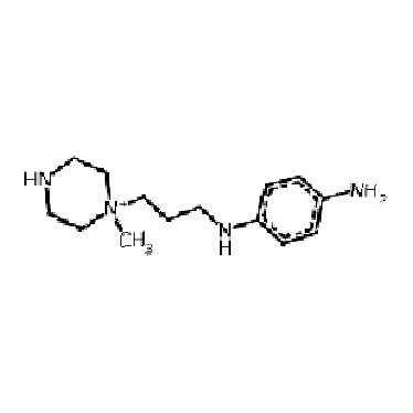 C[N+]1(CCCNc2ccc(N)cc2)CCNCC1